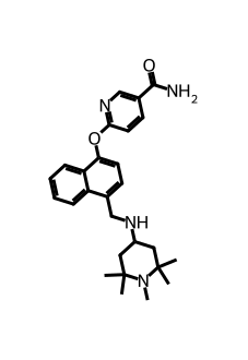 CN1C(C)(C)CC(NCc2ccc(Oc3ccc(C(N)=O)cn3)c3ccccc23)CC1(C)C